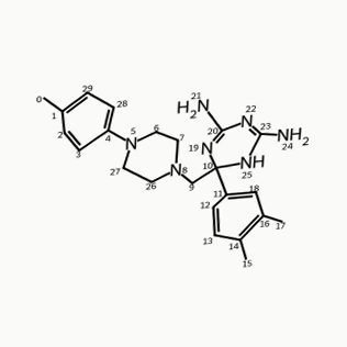 Cc1ccc(N2CCN(CC3(c4ccc(C)c(C)c4)N=C(N)N=C(N)N3)CC2)cc1